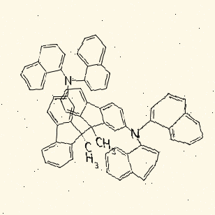 CC1(C2(C)c3ccccc3-c3ccc(N(c4cccc5ccccc45)c4cccc5ccccc45)cc32)c2ccccc2-c2ccc(N(c3cccc4ccccc34)c3cccc4ccccc34)cc21